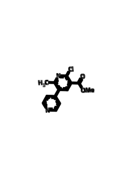 COC(=O)c1cc(-c2ccncc2)c(C)nc1Cl